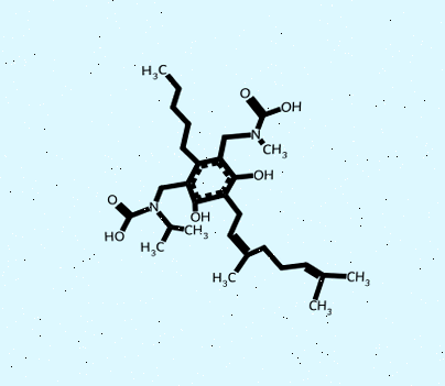 CCCCCc1c(CN(C)C(=O)O)c(O)c(CC=C(C)CCC=C(C)C)c(O)c1CN(C(=O)O)C(C)C